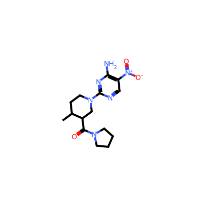 CC1CCN(c2ncc([N+](=O)[O-])c(N)n2)CC1C(=O)N1CCCC1